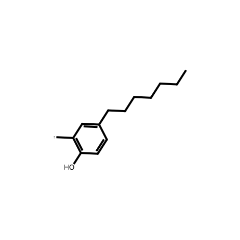 [CH]c1cc(CCCCCCC)ccc1O